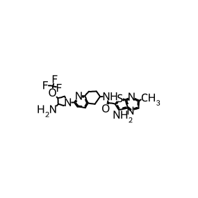 Cc1cnc2c(N)c(C(=O)NC3CCc4nc(N5CC(N)C(OC(F)(F)F)C5)ccc4C3)sc2n1